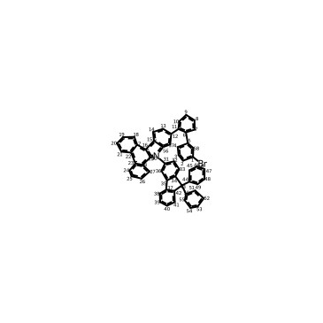 Brc1cccc(-c2ccccc2-c2ccc3c4c5ccccc5c5ccccc5c4n(-c4ccc5c(c4)-c4ccccc4C5(c4ccccc4)c4ccccc4)c3c2)c1